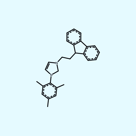 Cc1cc(C)c(N2C=CN(CCC3c4ccccc4-c4ccccc43)C2)c(C)c1